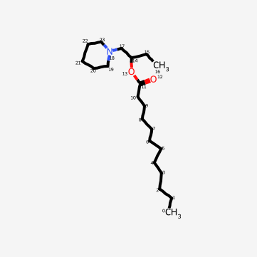 CCCCCCCCCCCC(=O)OC(CC)CN1CCCCC1